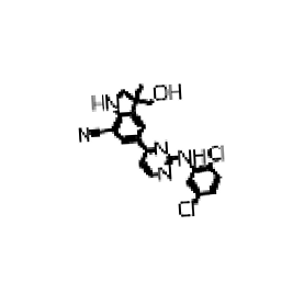 CC1(CO)CNc2c(C#N)cc(-c3ccnc(Nc4cc(Cl)ccc4Cl)n3)cc21